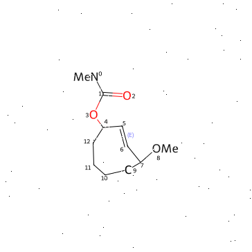 CNC(=O)OC1/C=C/C(OC)CCCC1